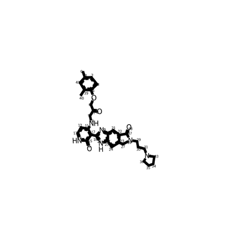 Cc1ccc(OCC(=O)CNc2cc[nH]c(=O)c2-c2nc3cc4c(cc3[nH]2)CN(CCCN2CCCC2)C4=O)c(C)c1